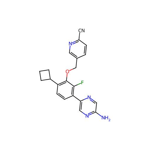 N#Cc1ccc(COc2c(C3CCC3)ccc(-c3cnc(N)cn3)c2F)cn1